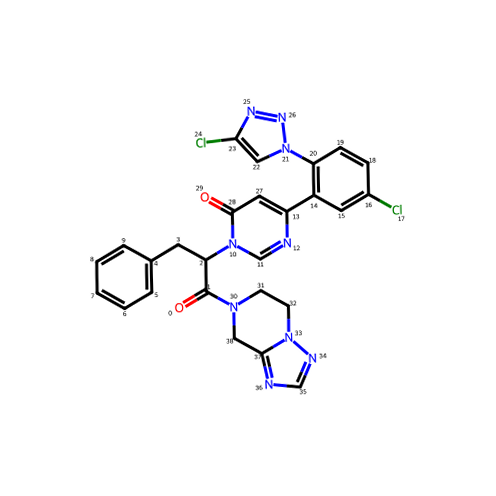 O=C(C(Cc1ccccc1)n1cnc(-c2cc(Cl)ccc2-n2cc(Cl)nn2)cc1=O)N1CCn2ncnc2C1